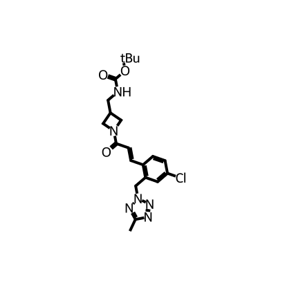 Cc1nnn(Cc2cc(Cl)ccc2/C=C/C(=O)N2CC(CNC(=O)OC(C)(C)C)C2)n1